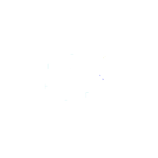 Fc1c(F)c(F)c(-c2cs[c]n2)c(F)c1F